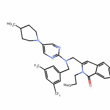 COCCn1c(CN(Cc2cc(C(F)(F)F)cc(C(F)(F)F)c2)c2ncc(N3CCC(C(=O)O)CC3)cn2)cc2ccccc2c1=O